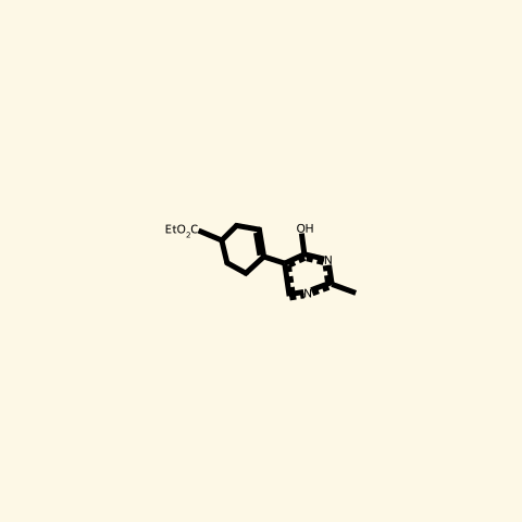 CCOC(=O)C1CC=C(c2cnc(C)nc2O)CC1